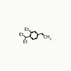 C=Cc1ccc([C](CC)CC)c(CC)c1